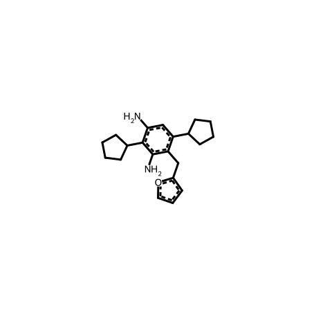 Nc1cc(C2CCCC2)c(Cc2ccco2)c(N)c1C1CCCC1